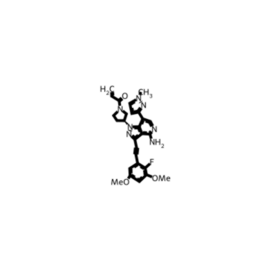 C=CC(=O)N1CC[C@H](n2nc(C#Cc3cc(OC)cc(OC)c3F)c3c(N)ncc(-c4ccn(C)n4)c32)C1